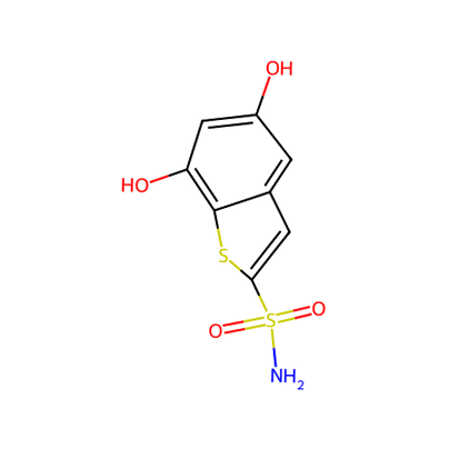 NS(=O)(=O)c1cc2cc(O)cc(O)c2s1